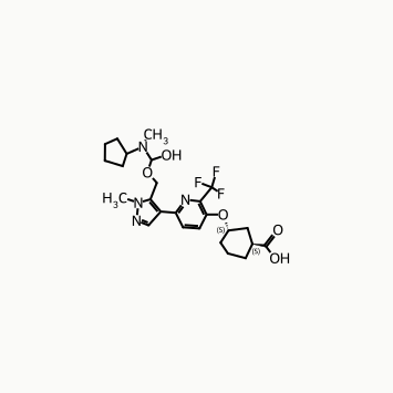 CN(C1CCCC1)C(O)OCc1c(-c2ccc(O[C@H]3CCC[C@H](C(=O)O)C3)c(C(F)(F)F)n2)cnn1C